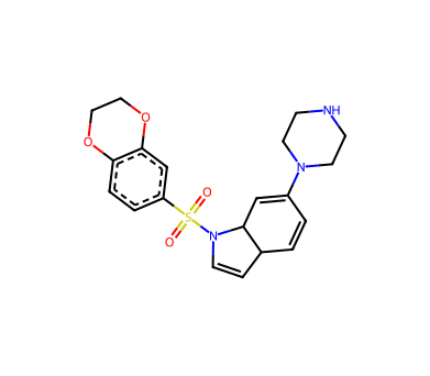 O=S(=O)(c1ccc2c(c1)OCCO2)N1C=CC2C=CC(N3CCNCC3)=CC21